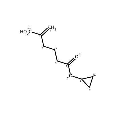 C=C(CCCC(=O)OC1CC1)C(=O)O